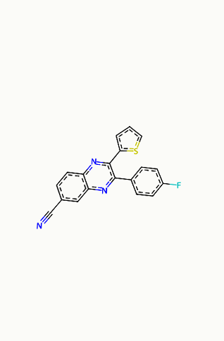 N#Cc1ccc2nc(-c3cccs3)c(-c3ccc(F)cc3)nc2c1